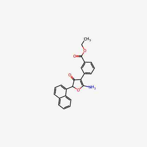 CCOC(=O)c1cccc(C2=C(N)OC(c3cccc4ccccc34)C2=O)c1